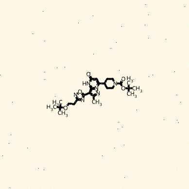 Cc1nn2c(C3CCN(C(=O)OC(C)(C)C)CC3)cc(=O)[nH]c2c1-c1nc(CCOC(C)(C)C)no1